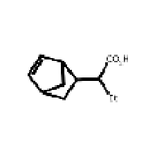 CCC(C(=O)O)C1CC2C=CC1C2